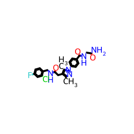 Cc1nn(-c2ccc(C(=O)NCC(N)=O)cc2)c(C)c1CC(=O)NCc1ccc(F)cc1Cl